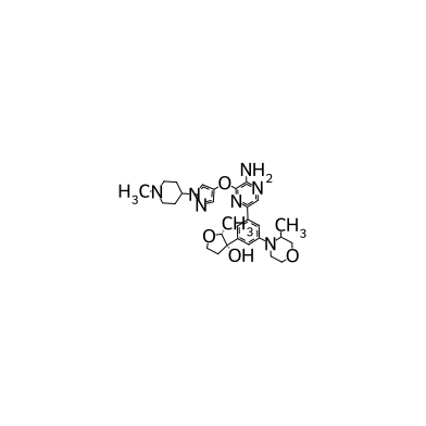 CC1COCCN1c1cc(-c2cnc(N)c(Oc3cnn(C4CCN(C)CC4)c3)n2)cc([C@@]2(O)CCO[C@@H]2C)c1